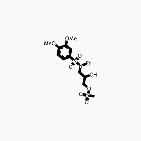 CCN(CC(O)COS(C)(=O)=O)S(=O)(=O)c1ccc(OC)c(OC)c1